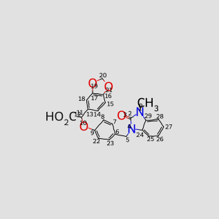 Cn1c(=O)n(Cc2ccc(OC(C(=O)O)c3ccc4c(c3)OCO4)cc2)c2ccccc21